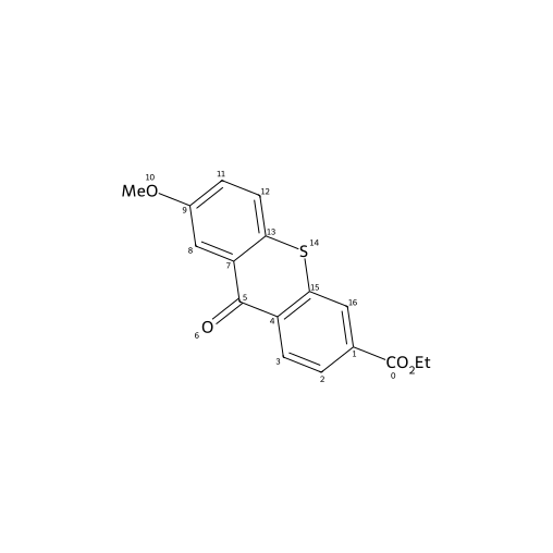 CCOC(=O)c1ccc2c(=O)c3cc(OC)ccc3sc2c1